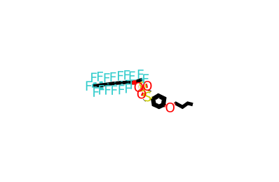 CCCCOc1ccc(S(C)(C)OS(=O)(=O)C(F)(F)C(F)(F)C(F)(F)C(F)(F)C(F)(F)C(F)(F)C(F)(F)C(F)(F)F)cc1